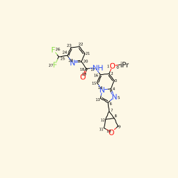 CC(C)Oc1cc2nc(C3C4COCC43)cn2cc1NC(=O)c1cccc(C(F)F)n1